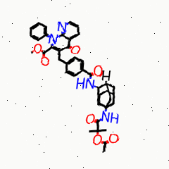 COC(=O)c1c(Cc2ccc(C(=O)NC3C4CC5C[C@@H]3CC(NC(=O)C(C)(C)OC(C)=O)(C5)C4)cc2)c(=O)c2cccnc2n1-c1ccccc1